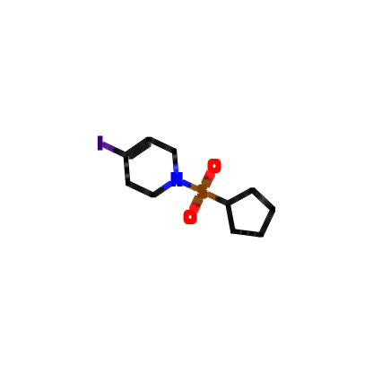 O=S(=O)(C1CCCC1)N1CC=C(I)CC1